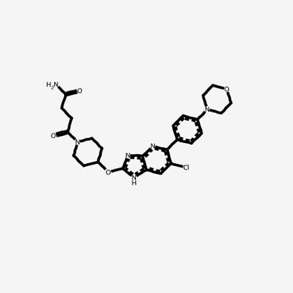 NC(=O)CCC(=O)N1CCC(Oc2nc3nc(-c4ccc(N5CCOCC5)cc4)c(Cl)cc3[nH]2)CC1